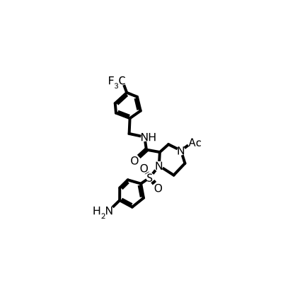 CC(=O)N1CCN(S(=O)(=O)c2ccc(N)cc2)C(C(=O)NCc2ccc(C(F)(F)F)cc2)C1